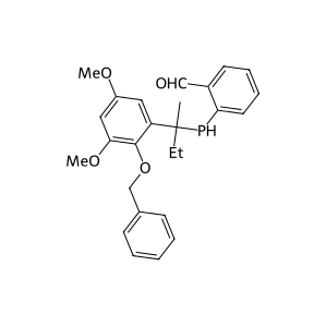 CCC(C)(Pc1ccccc1C=O)c1cc(OC)cc(OC)c1OCc1ccccc1